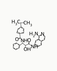 CC(C)c1ccc(C(=O)NC(c2ccccc2)C(O)C(=O)Nc2ccc3ccnc(N)c3c2)cc1